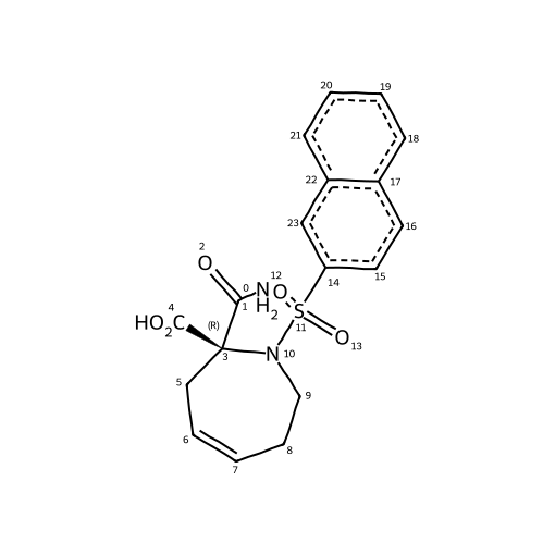 NC(=O)[C@@]1(C(=O)O)CC=CCCN1S(=O)(=O)c1ccc2ccccc2c1